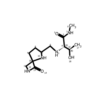 CNC(=O)[C@@H](NCC1CCC2(CNC2=O)N1)[C@@H](C)O